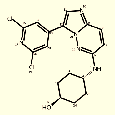 O[C@H]1CC[C@H](Nc2ccc3ncc(-c4cc(Cl)nc(Cl)c4)n3n2)CC1